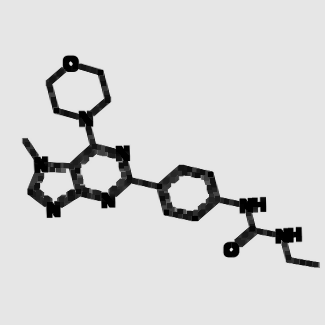 CCNC(=O)Nc1ccc(-c2nc(N3CCOCC3)c3c(ncn3C)n2)cc1